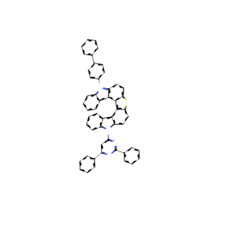 c1ccc(-c2ccc(-n3c4ccccc4c4c5c(ccc43)sc3ccc4c(c6ccccc6n4-c4cc(-c6ccccc6)nc(-c6ccccc6)n4)c35)cc2)cc1